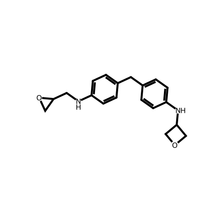 c1cc(NCC2CO2)ccc1Cc1ccc(NC2COC2)cc1